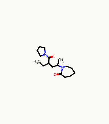 CCC(CC(C)N1CCCCCC1=O)C(=O)N1CCCC1